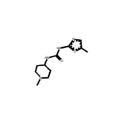 Cc1cnc(NC(=O)NC2CCN(C)CC2)s1